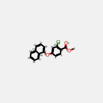 COC(=O)c1ccc(Oc2cccc3ccccc23)cc1Cl